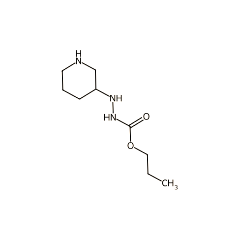 CCCOC(=O)NNC1CCCNC1